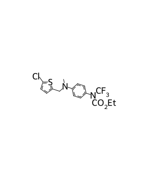 CCOC(=O)N(c1ccc(N(C)Cc2ccc(Cl)s2)cc1)C(F)(F)F